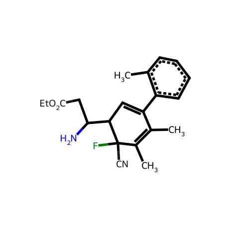 CCOC(=O)CC(N)C1C=C(c2ccccc2C)C(C)=C(C)C1(F)C#N